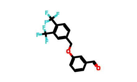 O=Cc1cccc(OCc2ccc(C(F)(F)F)c(C(F)(F)F)c2)c1